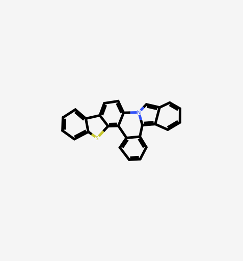 c1ccc2c(c1)cn1c3ccc4c5ccccc5sc4c3c3ccccc3c21